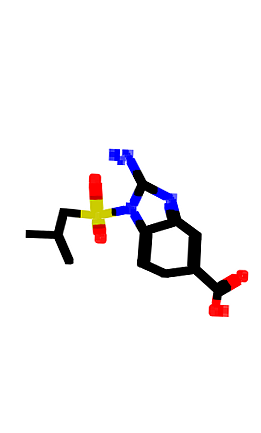 CC(C)CS(=O)(=O)N1C2=CCC(C(=O)O)=CC2=NC1N